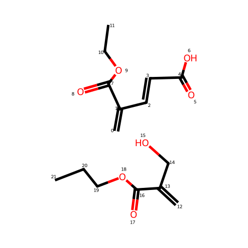 C=C(C=CC(=O)O)C(=O)OCC.C=C(CO)C(=O)OCCC